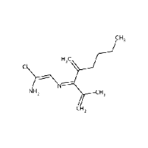 C=C(C)/C(=N/C=C(\N)Cl)C(=C)CCCC